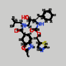 Cc1nc2ccc(C(=O)N(CC(C)C)C[C@@H](O)[C@H](Cc3ccccc3)NC(=O)OCc3cncs3)cc2o1